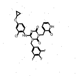 O=c1[nH]cccc1Cn1c(=O)nc(Nc2ccc(OC3CC3)cc2Cl)n(Cc2cc(F)c(F)c(F)c2)c1=O